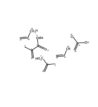 C=C(C)C(=O)O.C=C(C)C(=O)OC.C=C(Cl)Cl.C=CC#N.C=CC(=O)O